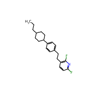 CCCC1CCC(c2ccc(CCc3ccc(F)nc3F)cc2)CC1